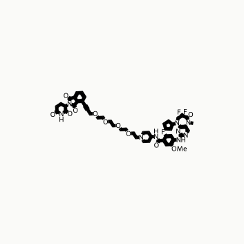 COc1cc(C(=O)NC2CCN(CCOCCOCCOCCOCC#Cc3cccc4c3C(=O)N(C3CCC(=O)NC3=O)C4=O)CC2)c(F)cc1Nc1ncc2c(n1)N(C1CCCC1)CC(F)(F)C(=O)N2C